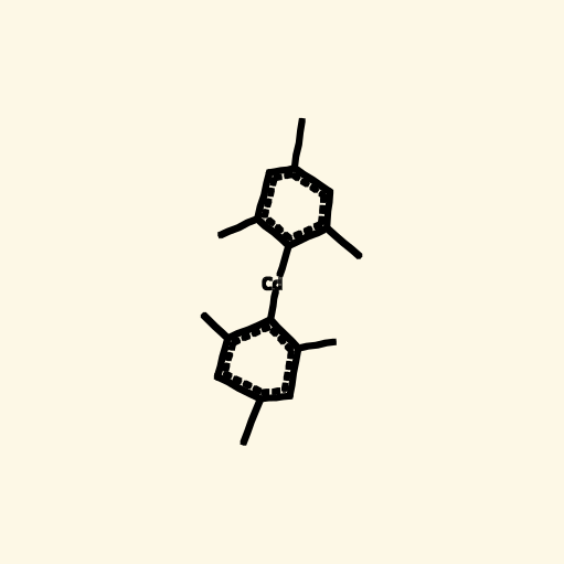 Cc1cc(C)[c]([Cd][c]2c(C)cc(C)cc2C)c(C)c1